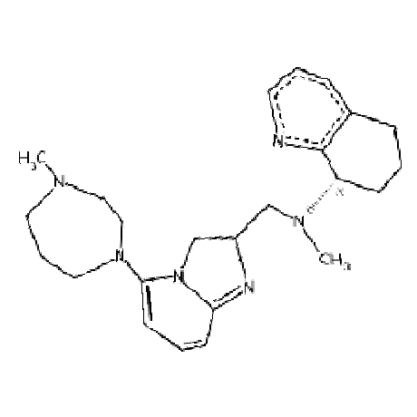 CN1CCCN(C2=CC=CC3=NC(CN(C)[C@H]4CCCc5cccnc54)CN23)CC1